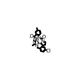 COC(=O)c1cc(C)ccc1NC(=O)N1CCC[C@@H]1c1nnc(C)n1Cc1ccc(Cl)cc1